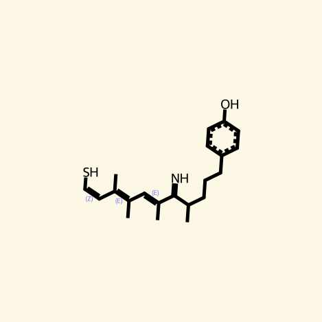 C\C(=C/C(C)=C(C)/C=C\S)C(=N)C(C)CCCc1ccc(O)cc1